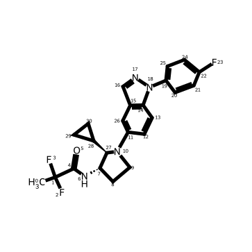 CC(F)(F)C(=O)N[C@H]1CCN(c2ccc3c(cnn3-c3ccc(F)cc3)c2)[C@@H]1C1CC1